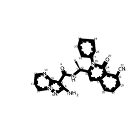 C[C@H](NC(=O)c1c(N)nn2cccnc12)c1cc2cccc(C#N)c2c(=O)n1-c1ccccc1